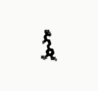 C=C(F)/C=C(F)\C=C/Cc1ccc(C)c(C)c1